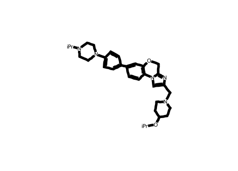 CC(C)OC1CCN(Cc2cn3c(n2)COc2cc(-c4ccc(N5CCN(C(C)C)CC5)cc4)ccc2-3)CC1